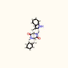 CN1C(=O)[C@H](Cc2c[nH]c3ccccc23)N(C)C(=O)[C@@H]1Cc1ccccc1